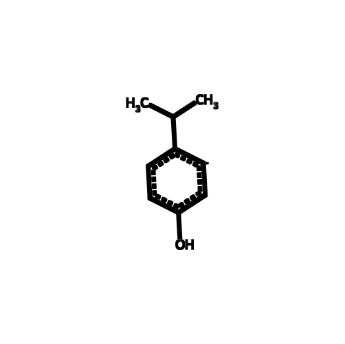 CC(C)c1[c]cc(O)cc1